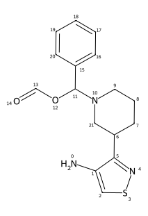 Nc1csnc1C1CCCN(C(OC=O)c2ccccc2)C1